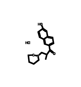 CC(CN1CCCCC1)C(=O)c1ccc2cc(O)ccc2c1.Cl